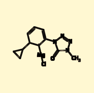 Cn1nnn(C2=CC=CC(C3CC3)[C]2[Mg][Cl])c1=O